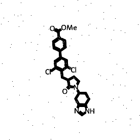 COC(=O)c1ccc(-c2cc(Cl)c(CC3CCN(C4CCc5[nH]cnc5C4)C3=O)c(Cl)c2)cc1